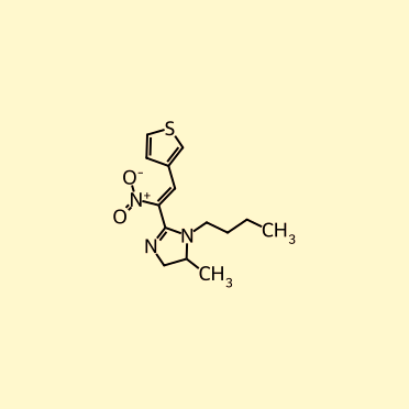 CCCCN1C(C(=Cc2ccsc2)[N+](=O)[O-])=NCC1C